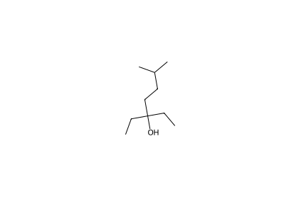 CCC(O)(CC)CCC(C)C